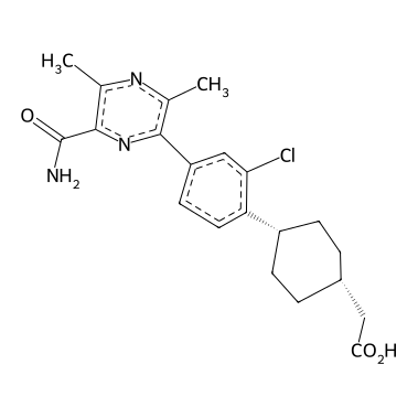 Cc1nc(C)c(-c2ccc([C@H]3CC[C@@H](CC(=O)O)CC3)c(Cl)c2)nc1C(N)=O